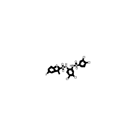 Cc1c(S(=O)(=O)Nc2cc(Cl)c(Cl)cc2NS(=O)(=O)c2ccc(Cl)c(Cl)c2)sc2ccc(F)cc12